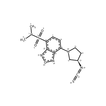 CN(C)S(=O)(=O)c1ccc(N2CC[C@@H](N=C=S)C2)c2nonc12